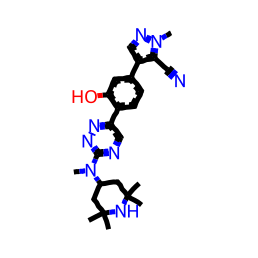 CN(c1ncc(-c2ccc(-c3cnn(C)c3C#N)cc2O)nn1)C1CC(C)(C)NC(C)(C)C1